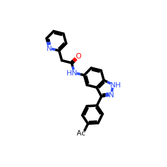 CC(=O)c1ccc(-c2n[nH]c3ccc(NC(=O)Cc4ccccn4)cc23)cc1